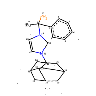 CC(C)(C)C(P)(c1ccccc1)N1[C]N(C23CC4CC(CC(C4)C2)C3)C=C1